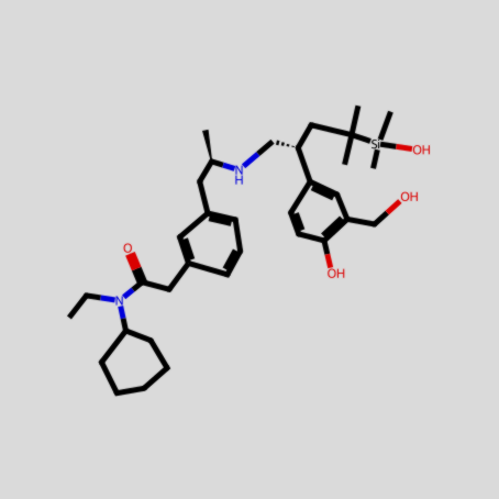 CCN(C(=O)Cc1cccc(C[C@@H](C)NC[C@H](CC(C)(C)[Si](C)(C)O)c2ccc(O)c(CO)c2)c1)C1CCCCC1